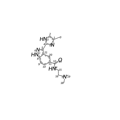 Cc1c[nH]c(-c2n[nH]c3ccc(C(=O)NCCN(C)C)cc23)n1